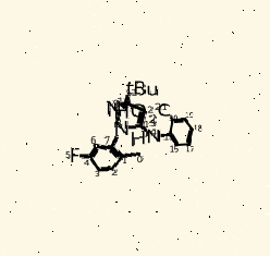 Cc1ccc(F)cc1-n1nc(C(C)(C)C)cc1Nc1ccccc1C(=O)O